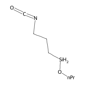 CCCO[SiH2]CCCN=C=O